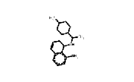 CC1CCC(C(C)NC2CC=Cc3cccc(N)c32)CC1